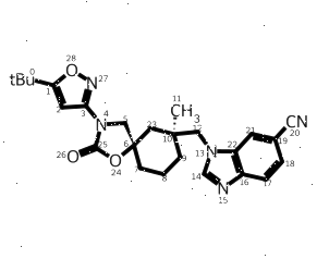 CC(C)(C)c1cc(N2C[C@@]3(CCC[C@](C)(Cn4cnc5ccc(C#N)cc54)C3)OC2=O)no1